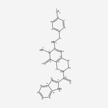 CCCn1c(NCc2ccc(C(F)(F)F)cc2)nc2c(c1=O)CN(C(=O)c1nc3ccccc3[nH]1)CC2